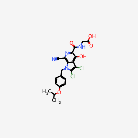 CC(C)Oc1ccc(Cn2c(Cl)c(Cl)c3c(O)c(C(=O)NCC(=O)O)nc(C#N)c32)cc1